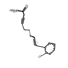 CCCCCCC(=O)C#CCCC/C=C/c1ccccc1Cl